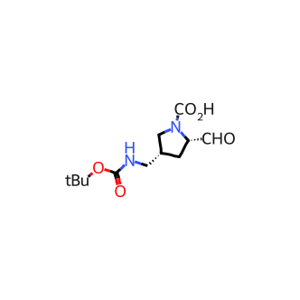 CC(C)(C)OC(=O)NC[C@H]1C[C@@H](C=O)N(C(=O)O)C1